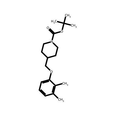 Cc1cccc(OCC2CCN(C(=O)OC(C)(C)C)CC2)c1C